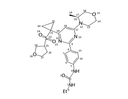 CCNC(=O)Nc1ccc(-c2nc(N3CCOC[C@@H]3C)cc(C3(S(=O)(=O)C4CCOC4)CC3)n2)cc1